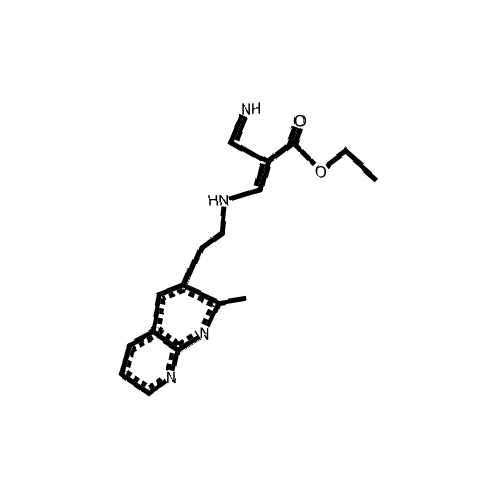 CCOC(=O)/C(C=N)=C/NCCc1cc2cccnc2nc1C